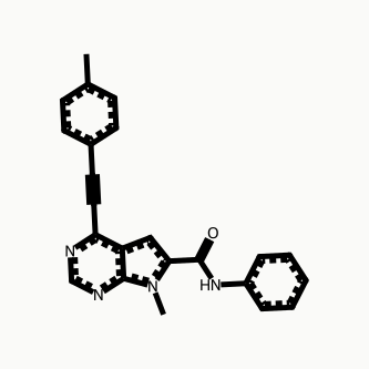 Cc1ccc(C#Cc2ncnc3c2cc(C(=O)Nc2ccccc2)n3C)cc1